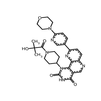 CC(C)(O)C(=O)N1CCC(n2c(=O)[nH]c(=O)c3cnc4ccc(-c5ccc(N6CCOCC6)nc5)nc4c32)CC1